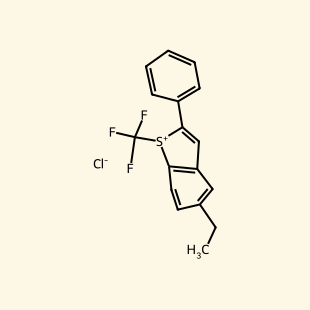 CCc1ccc2c(c1)cc(-c1ccccc1)[s+]2C(F)(F)F.[Cl-]